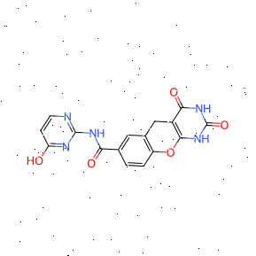 O=C(Nc1nccc(O)n1)c1ccc2c(c1)Cc1c([nH]c(=O)[nH]c1=O)O2